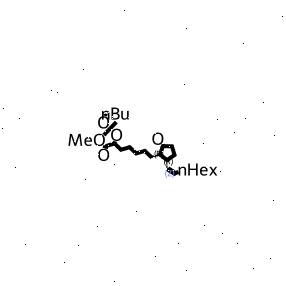 CCCCCC/C=C\[C@H]1CCC(=O)[C@@H]1CCCCCC(OC(C)(C)OCCCC)C(=O)OC